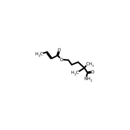 CC=CC(=O)OCCCC(C)(C)C(N)=O